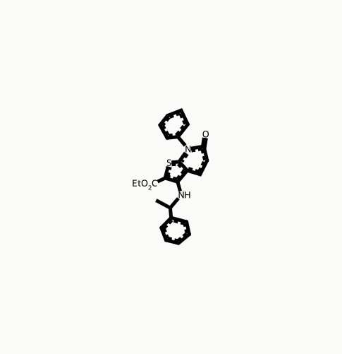 CCOC(=O)c1sc2c(ccc(=O)n2-c2ccccc2)c1NC(C)c1ccccc1